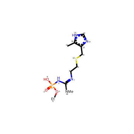 CCOP(=O)(O)NC(=NCCSCc1nc[nH]c1C)NC